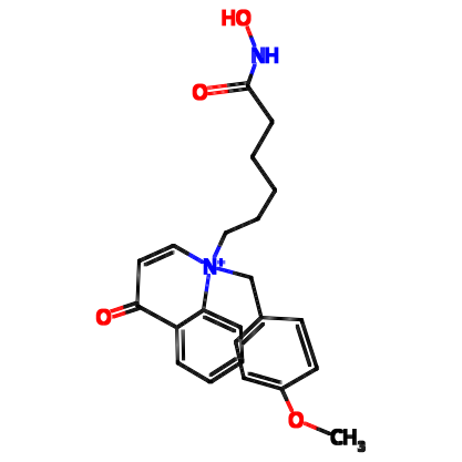 COc1ccc(C[N+]2(CCCCCC(=O)NO)C=CC(=O)c3ccccc32)cc1